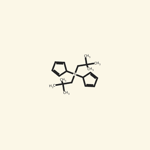 CC(C)(C)[CH2][Ti]([CH2]C(C)(C)C)([CH]1C=CC=C1)[CH]1C=CC=C1